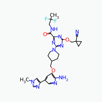 Cn1cnc(-c2cnc(N)c(OCC3CCN(c4nc(OCC5(C#N)CC5)nc(C(=O)NCC(C)(F)F)n4)CC3)c2)c1